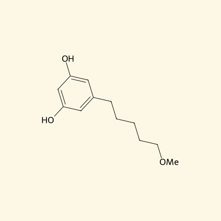 COCCCCCc1cc(O)cc(O)c1